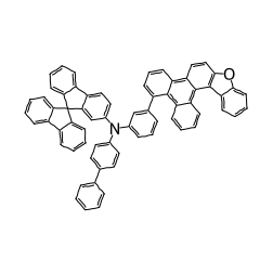 c1ccc(-c2ccc(N(c3cccc(-c4cccc5c6ccc7oc8ccccc8c7c6c6ccccc6c45)c3)c3ccc4c(c3)C3(c5ccccc5-c5ccccc53)c3ccccc3-4)cc2)cc1